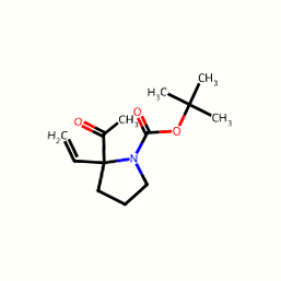 C=CC1(C(C)=O)CCCN1C(=O)OC(C)(C)C